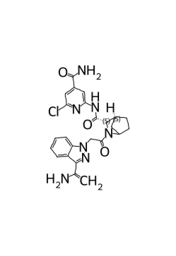 C=C(N)c1nn(CC(=O)N2C3CC[C@@H](C3)[C@H]2C(=O)Nc2cc(C(N)=O)cc(Cl)n2)c2ccccc12